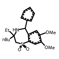 CCCCC1(CC)CS(=O)(=O)c2cc(OC)c(OC)cc2C(c2ccccc2)N1